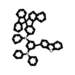 c1ccc(N(c2ccccc2)c2cc(-c3ccc4c(c3)oc3ccccc34)cc(N(c3ccccc3)c3ccc4c(c3)C3(c5ccccc5-c5ccccc53)c3ccc5ccccc5c3-4)c2)cc1